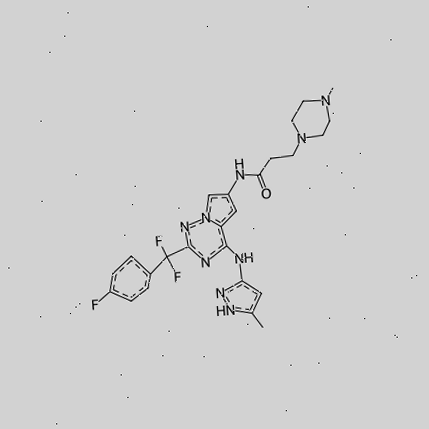 Cc1cc(Nc2nc(C(F)(F)c3ccc(F)cc3)nn3cc(NC(=O)CCN4CCN(C)CC4)cc23)n[nH]1